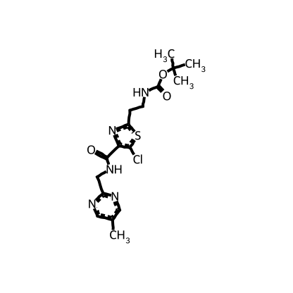 Cc1cnc(CNC(=O)c2nc(CCNC(=O)OC(C)(C)C)sc2Cl)nc1